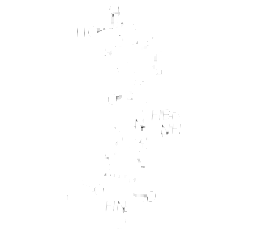 Br.CCOc1cc2c(cc1C(=O)NC)C(=N)N(CC(=O)c1cccc(C(C)(C)C(=O)O)c1)C2